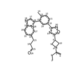 C=C(CC)N1CC(c2nc(-c3ccc(C)c(-c4cnc5ccc(CCC=O)cn45)c3)no2)C1